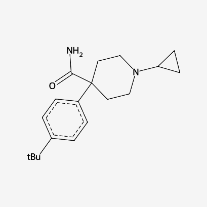 CC(C)(C)c1ccc(C2(C(N)=O)CCN(C3CC3)CC2)cc1